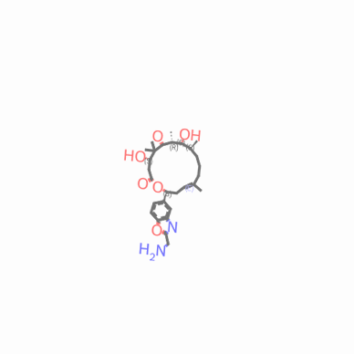 C/C1=C\C[C@@H](c2ccc3oc(CN)nc3c2)OC(=O)C[C@H](O)C(C)(C)C(=O)[C@H](C)[C@@H](O)[C@@H](C)CCC1